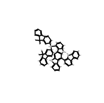 CC1(C)c2ccccc2-c2ccc(N(c3ccc4c(c3)C(C)(C)c3ccccc3-4)c3cccc4oc5c(-c6cccc7c6sc6ccccc67)c6c(cc5c34)oc3ccccc36)cc21